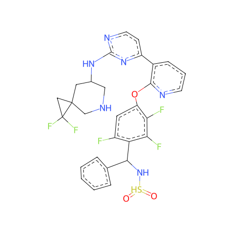 O=[SH](=O)NC(c1ccccc1)c1c(F)cc(Oc2ncccc2-c2ccnc(NC3CNCC4(C3)CC4(F)F)n2)c(F)c1F